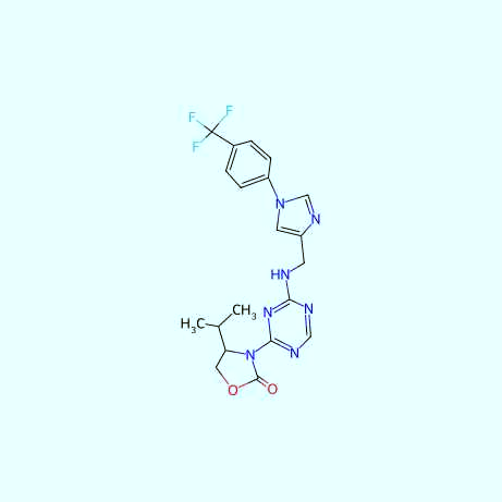 CC(C)C1COC(=O)N1c1ncnc(NCc2cn(-c3ccc(C(F)(F)F)cc3)cn2)n1